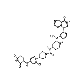 CN(C(=O)N1CCC(c2ccc(NC3CCC(=O)NC3=O)cc2Cl)CC1)C1CCN(Cc2ccc(-c3cn(C)c(=O)c4cnccc34)cc2OC(F)(F)F)CC1